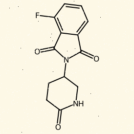 O=C1CCC(N2C(=O)c3cccc(F)c3C2=O)CN1